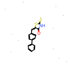 O=C1NC(=S)SC1=Cc1ccc(-c2ccccc2)cc1